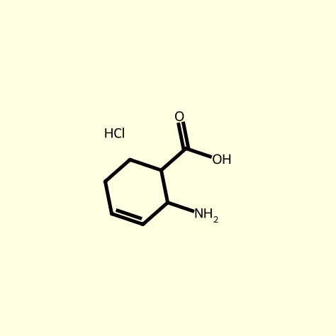 Cl.NC1C=CCCC1C(=O)O